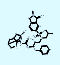 CC(C)CN(C[C@@H](O)[C@H](Cc1ccccc1)NC(=O)OC1C2COC3O[C@H]1CC3C2)S(=O)(=O)c1ccc2c(c1)C(=O)N(C)C2